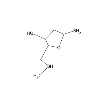 BC1CC(O)C(CBC)O1